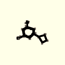 Clc1cc(Br)cc([C]2CCC2)c1